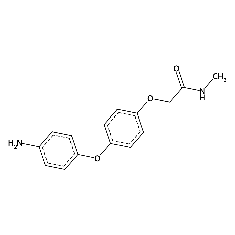 CNC(=O)COc1ccc(Oc2ccc(N)cc2)cc1